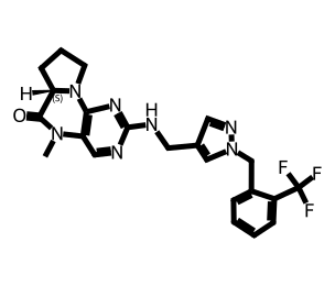 CN1C(=O)[C@@H]2CCCN2c2nc(NCc3cnn(Cc4ccccc4C(F)(F)F)c3)ncc21